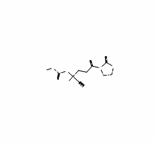 CSC(=S)SC(C)(C#N)CCC(=O)N1CCSC1=S